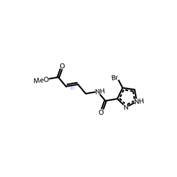 COC(=O)/C=C/CNC(=O)c1n[nH]cc1Br